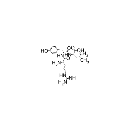 CC(C)C[C@H](NC(=O)[C@@H](Cc1ccc(O)cc1)NC(=O)[C@H](N)CCCNC(=N)N)C(=O)O